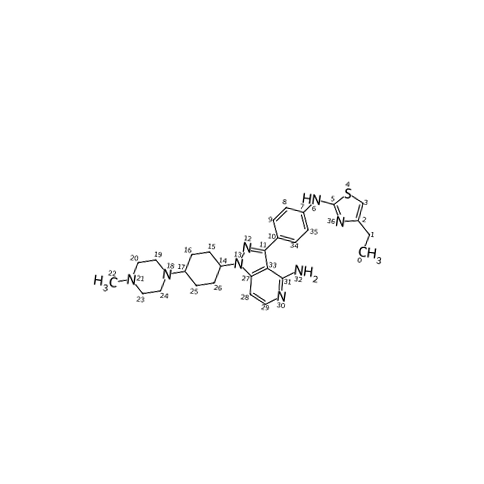 CCc1csc(Nc2ccc(-c3nn(C4CCC(N5CCN(C)CC5)CC4)c4ccnc(N)c34)cc2)n1